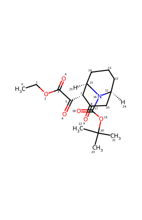 CCOC(=O)C(=O)[C@H]1C(=O)C[C@@H]2CCC[C@H]1N2C(=O)OC(C)(C)C